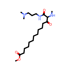 CNC(C(=O)CCCCCCCCCCC(=O)OC)C(=O)NCCCN(C)C